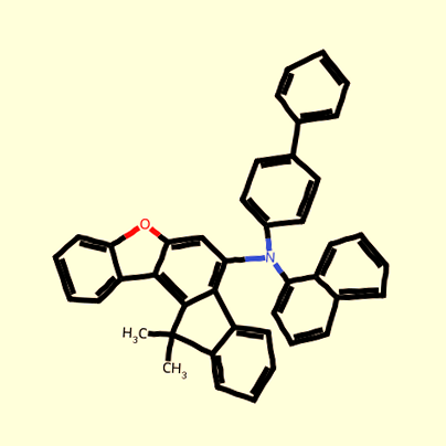 CC1(C)c2ccccc2-c2c(N(c3ccc(-c4ccccc4)cc3)c3cccc4ccccc34)cc3oc4ccccc4c3c21